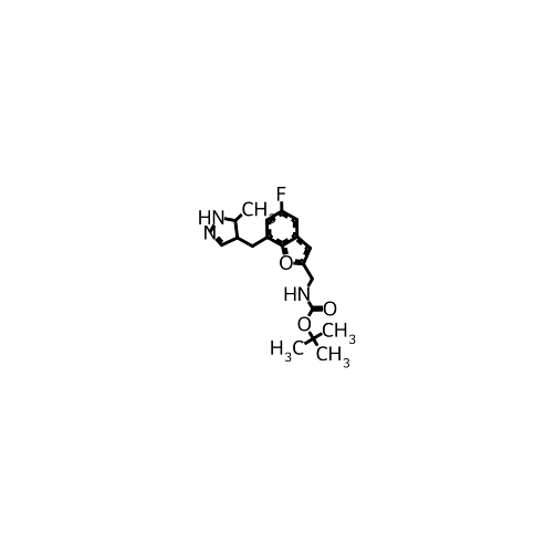 CC1NN=CC1Cc1cc(F)cc2cc(CNC(=O)OC(C)(C)C)oc12